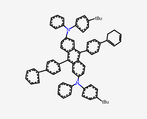 CC(C)(C)c1ccc(N(c2ccccc2)c2ccc3c(-c4ccc(-c5ccccc5)cc4)c4cc(N(c5ccccc5)c5ccc(C(C)(C)C)cc5)ccc4c(-c4ccc(C5=CC=CCC5)cc4)c3c2)cc1